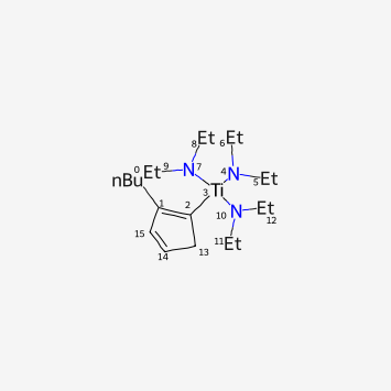 CCCCC1=[C]([Ti]([N](CC)CC)([N](CC)CC)[N](CC)CC)CC=C1